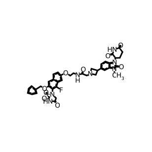 Cn1c(=O)n(C2CCC(=O)NC2=O)c2ccc(C3CN(CC(=O)NCCOc4ccc5cc(OCc6ccccc6)c(N6CC(=O)NS6(=O)=O)c(F)c5c4)C3)cc21